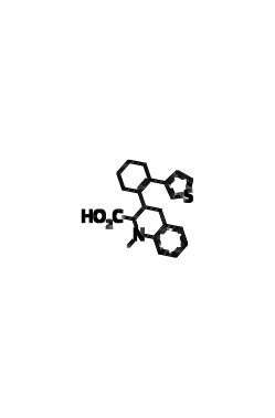 CN1c2ccccc2CC(C2=C(c3ccsc3)CCCC2)C1C(=O)O